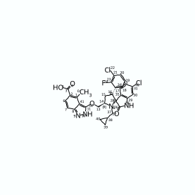 Cc1c(C(=O)O)ccc2n[nH]c(OC[C@H]3C[C@H](c4cccc(Cl)c4F)[C@]4(C(=O)Nc5cc(Cl)ccc54)N3CC3CC3)c12